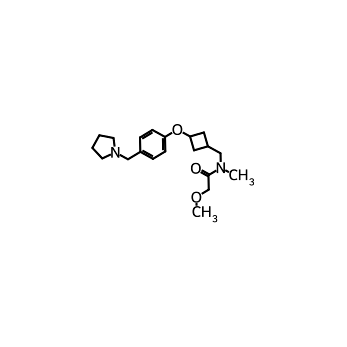 COCC(=O)N(C)CC1CC(Oc2ccc(CN3CCCC3)cc2)C1